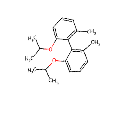 Cc1cccc(OC(C)C)c1-c1c(C)cccc1OC(C)C